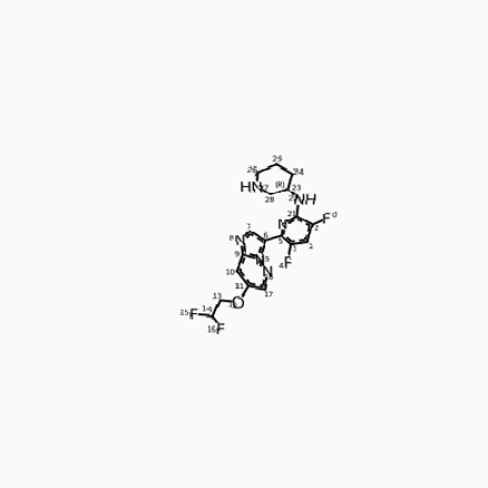 Fc1cc(F)c(-c2cnc3cc(OCC(F)F)cnn23)nc1N[C@@H]1CCCNC1